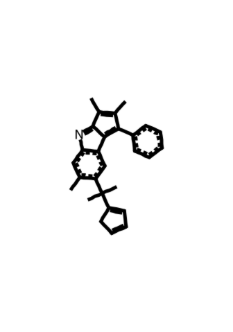 CC1=C(C)C(c2ccccc2)=C2C1=Nc1cc(C)c(C(C)(C)C3=CC=CC3)cc12